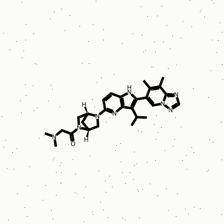 Cc1c(-c2[nH]c3ccc(N4C[C@H]5C[C@@H]4CN5C(=O)CN(C)C)nc3c2C(C)C)cn2ncnc2c1C